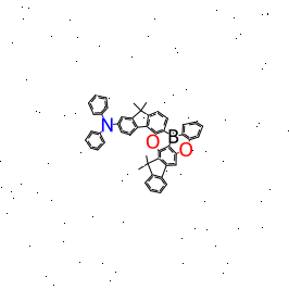 CC1(C)c2cc(N(c3ccccc3)c3ccccc3)ccc2-c2c1ccc1c2Oc2c3c(cc4c2C(C)(C)c2ccccc2-4)Oc2ccccc2B13